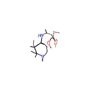 CO[Si](OC)(OC)C(C)NC1CCN(C)C(C)(C)C1(C)C